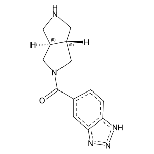 O=C(c1ccc2[nH]nnc2c1)N1C[C@H]2CNC[C@@H]2C1